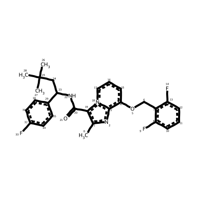 Cc1nc2c(OCc3c(F)cccc3F)cccn2c1C(=O)NC([CH]C(C)(C)C)c1ccc(F)cc1